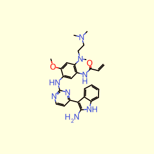 C=CC(=O)Nc1cc(Nc2nccc(-c3c(N)[nH]c4ccccc34)n2)c(OC)cc1N(C)CCN(C)C